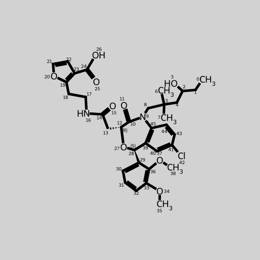 CCC(O)CC(C)(C)CN1C(=O)[C@@H](CC(=O)NCCc2occc2C(=O)O)O[C@H](c2cccc(OC)c2OC)c2cc(Cl)ccc21